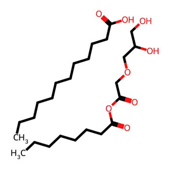 CCCCCCCC(=O)OC(=O)COCC(O)CO.CCCCCCCCCCCC(=O)O